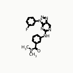 CN(C)C(=O)c1cccc(Nc2ncc3nnn(-c4cccc(F)c4)c3n2)c1